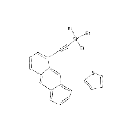 CC[Si](C#Cc1cccc2cc3ccccc3cc12)(CC)CC.c1ccsc1